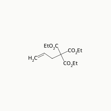 C=CCC(C(=O)OCC)(C(=O)OCC)C(=O)OCC